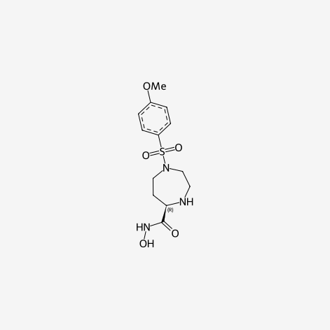 COc1ccc(S(=O)(=O)N2CCN[C@@H](C(=O)NO)CC2)cc1